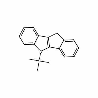 CS(C)(C)n1c2c(c3ccccc31)Cc1ccccc1-2